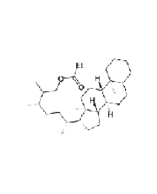 CCC(=O)OCC(C)[C@@H](C)CC[C@@H](C)[C@H]1CC[C@H]2[C@@H]3CCC4CCCC[C@]4(C)[C@H]3CC[C@]12C